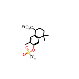 CCOC(=O)C1CCC(C)(C)c2cc(OS(=O)(=O)C(F)(F)F)c(C)cc21